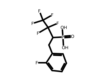 O=P(O)(O)C(Cc1ccccc1F)C(F)(F)C(F)(F)F